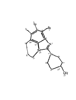 Cc1c(Br)c(Br)c2nc(N3CCC(O)CC3)n3c2c1CCC3